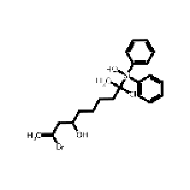 C=C(Br)CC(O)CCCCC(C)(C)[Si](O)(c1ccccc1)c1ccccc1